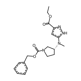 CCOC(=O)c1cc(N(C)[C@@H]2CCN(C(=O)OCc3ccccc3)C2)[nH]n1